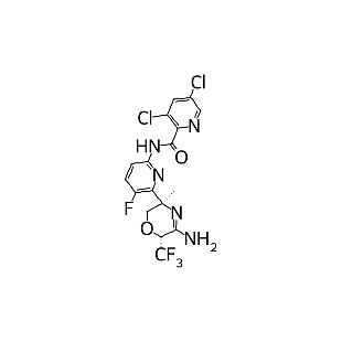 C[C@@]1(c2nc(NC(=O)c3ncc(Cl)cc3Cl)ccc2F)CO[C@@H](C(F)(F)F)C(N)=N1